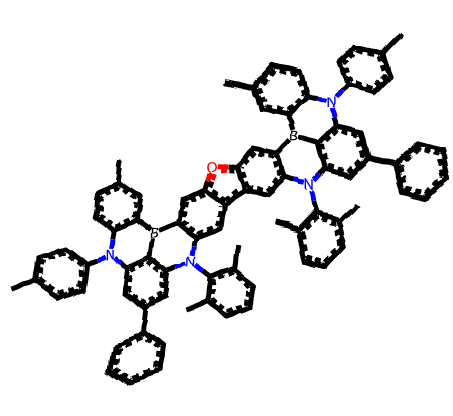 Cc1ccc(N2c3ccc(C)cc3B3c4cc5oc6cc7c(cc6c5cc4N(c4c(C)cccc4C)c4cc(-c5ccccc5)cc2c43)N(c2c(C)cccc2C)c2cc(-c3ccccc3)cc3c2B7c2cc(C)ccc2N3c2ccc(C)cc2)cc1